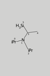 CC(C)N(C(C)C)C(C)[SiH3]